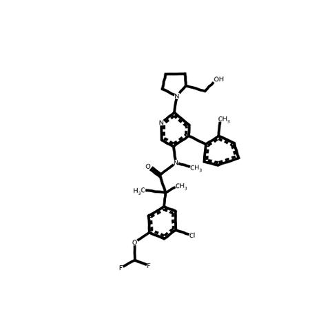 Cc1ccccc1-c1cc(N2CCCC2CO)ncc1N(C)C(=O)C(C)(C)c1cc(Cl)cc(OC(F)F)c1